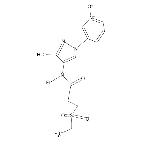 CCN(C(=O)CCS(=O)(=O)CC(F)(F)F)c1cn(-c2ccc[n+]([O-])c2)nc1C